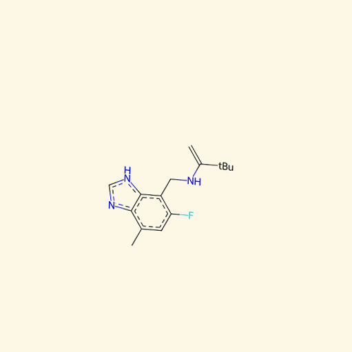 C=C(NCc1c(F)cc(C)c2nc[nH]c12)C(C)(C)C